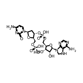 Nc1ccn([C@H]2C[C@H](OP(=O)(O)OC[C@H]3O[C@@H](N4CNc5c(N)ncnc54)[C@H](O)[C@@H]3O)[C@@H](COP(=O)(O)O)O2)c(=O)n1